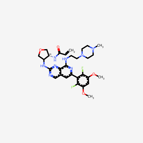 C=CC(=O)N[C@H]1COCC1Nc1ncc2cc(-c3c(F)c(OC)cc(OC)c3F)nc(NCCN3CCN(C)CC3)c2n1